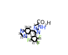 O=C(O)C1Cn2c(nc(-c3cc(F)cc(F)c3F)c2-c2ccc3nccnc3c2)N1